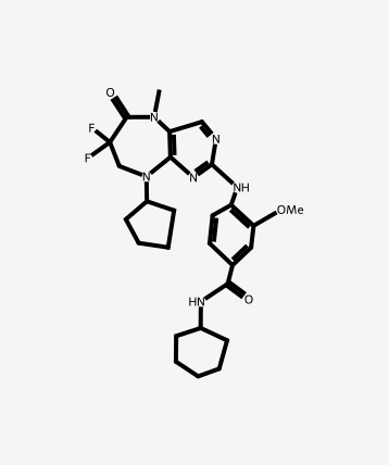 COc1cc(C(=O)NC2CCCCC2)ccc1Nc1ncc2c(n1)N(C1CCCC1)CC(F)(F)C(=O)N2C